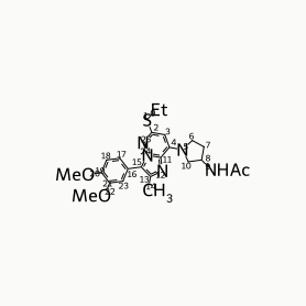 CCSc1cc(N2CCC(NC(C)=O)C2)c2nc(C)c(-c3ccc(OC)c(OC)c3)n2n1